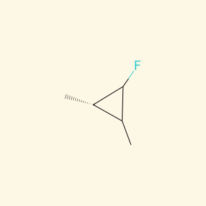 CC1C(F)[C@H]1C